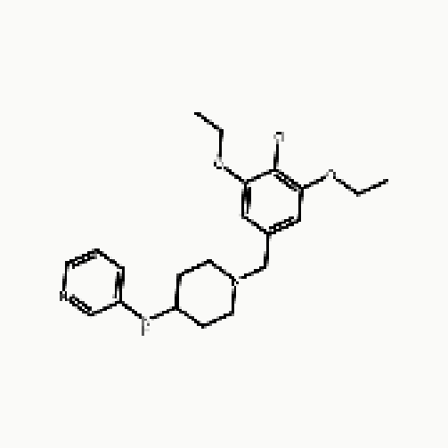 CCOc1cc(CN2CCC(Nc3cccnc3)CC2)cc(OCC)c1Cl